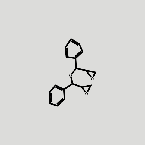 c1ccc(C(OC(c2ccccc2)C2CO2)C2CO2)cc1